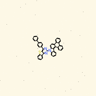 c1ccc(-c2ccc(-c3nc(-n4c5ccccc5c5c6c7ccccc7c7ccccc7c6ccc54)nc4c3sc3ccccc34)cc2)cc1